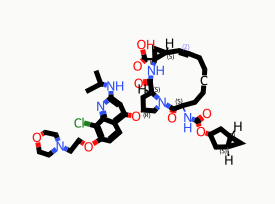 CC(C)Nc1cc(O[C@@H]2C[C@H]3C(=O)N[C@]4(C(=O)O)C[C@H]4/C=C\CCCCC[C@H](NC(=O)OC4C[C@@H]5C[C@@H]5C4)C(=O)N3C2)c2ccc(OCCN3CCOCC3)c(Cl)c2n1